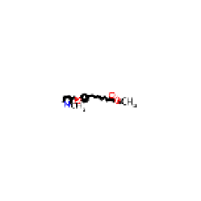 CCOCC(=O)CCCCCCc1ccc(OCc2cccnc2C)cc1